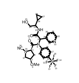 CO[C@@H]1C[C@H](C(=O)N(c2ccc(S(F)(F)(F)(F)F)cc2)C(C(=O)NC(CO)C2CC2)c2cccnc2)N(C#N)C1